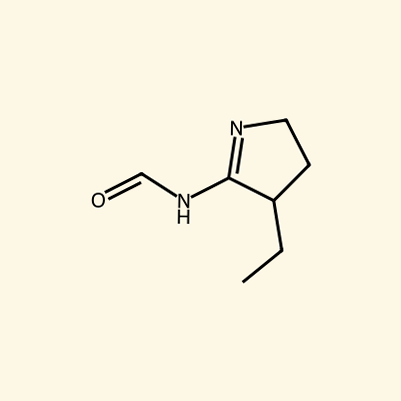 CCC1CCN=C1NC=O